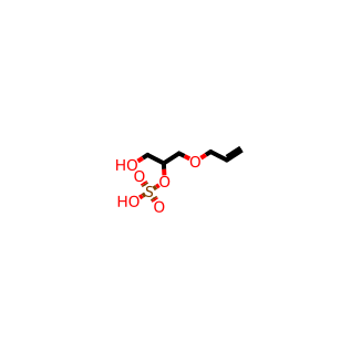 C=CCOCC(CO)OS(=O)(=O)O